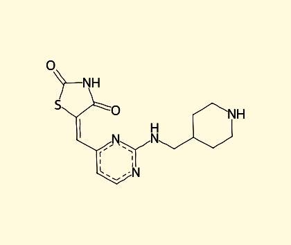 O=C1NC(=O)/C(=C\c2ccnc(NCC3CCNCC3)n2)S1